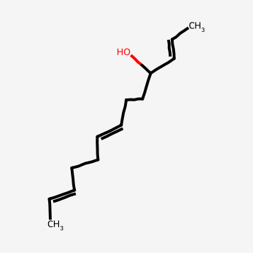 CC=CCCC=CCCC(O)C=CC